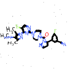 CNc1c(C)nn(-c2nc(N3CCN(C(=O)N4N=CCC4c4cc(F)cc(C#N)c4)CC3)ncc2F)c1C